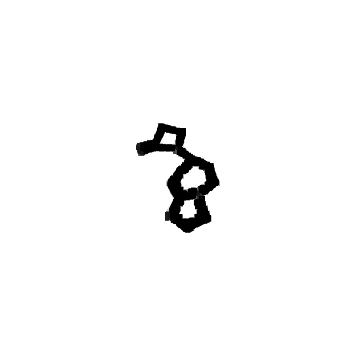 O=C1CCN1c1ccn2ccnc2c1